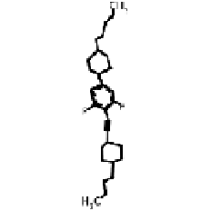 CCCCCC1CCC(c2cc(F)c(C#CC3CCC(CCCC)CC3)c(F)c2)CC1